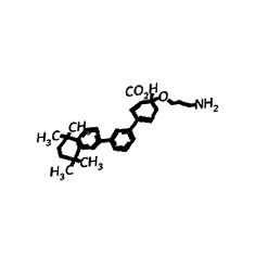 CC1(C)CCC(C)(C)c2cc(-c3cccc(C4=CCC(OCCCN)(C(=O)O)C=C4)c3)ccc21